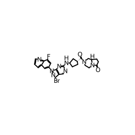 O=C([C@@H]1CC[C@@H](Nc2ncc3c(Br)nn(-c4cc(F)c5ncccc5c4)c3n2)C1)N1CCN2C(=O)CC[C@@H]2C1